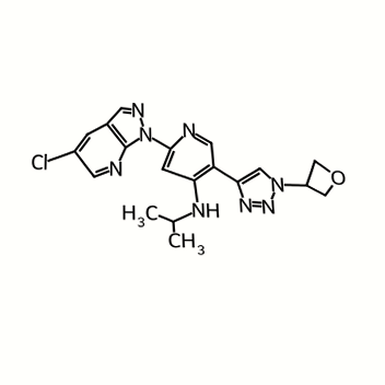 CC(C)Nc1cc(-n2ncc3cc(Cl)cnc32)ncc1-c1cn(C2COC2)nn1